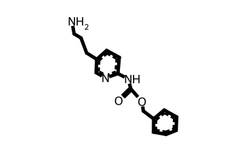 NCCCc1ccc(NC(=O)OCc2ccccc2)nc1